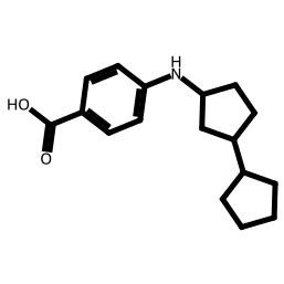 O=C(O)c1ccc(NC2CCC(C3CCCC3)C2)cc1